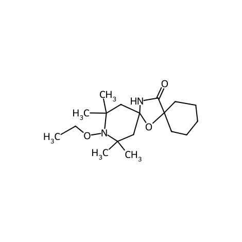 CCON1C(C)(C)CC2(CC1(C)C)NC(=O)C1(CCCCC1)O2